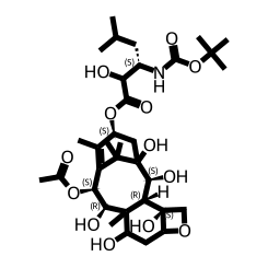 CC(=O)O[C@H]1C2=C(C)[C@@H](OC(=O)C(O)[C@H](CC(C)C)NC(=O)OC(C)(C)C)CC(O)([C@@H](O)[C@H]3C(C)(C(O)CC4OC[C@]43O)[C@H]1O)C2(C)C